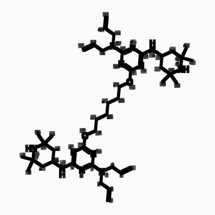 C=CCN(CC=C)c1nc(NC2CC(C)(C)NC(C)(C)C2)nc(OCCCCCCOc2nc(NC3CC(C)(C)NC(C)(C)C3)nc(N(CC=C)CC=C)n2)n1